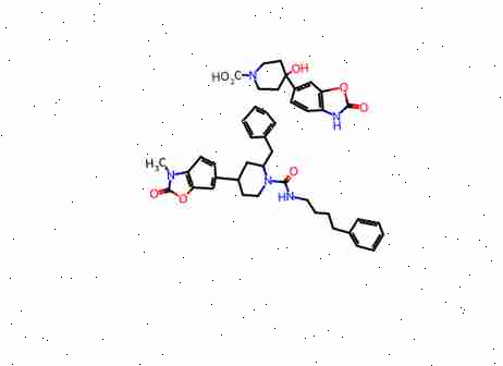 Cn1c(=O)oc2cc(C3CCN(C(=O)NCCCCc4ccccc4)C(Cc4ccccc4)C3)ccc21.O=C(O)N1CCC(O)(c2ccc3[nH]c(=O)oc3c2)CC1